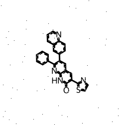 O=c1[nH]c2nc(-c3ccccc3)c(-c3ccc4ncccc4c3)cc2cc1-c1nccs1